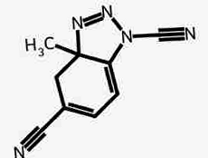 CC12CC(C#N)=CC=C1N(C#N)N=N2